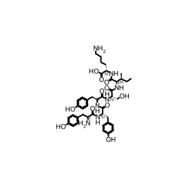 CC[C@H](C)[C@H](NC(=O)[C@H](CO)NC(=O)[C@H](Cc1ccc(O)cc1)NC(=O)[C@H](Cc1ccc(O)cc1)NC(=O)[C@@H](N)Cc1ccc(O)cc1)C(=O)N[C@@H](CCCCN)C(=O)O